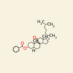 CC(C)CCC[C@@H](C)[C@H]1CCC2C3=C(C(=O)C[C@@]21C)[C@@]1(C)CC[C@H](OC(=O)c2ccccc2)C[C@@H]1CC3